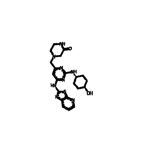 O=C1CN(Cc2cc(Nc3nc4cccnc4s3)nc(N[C@H]3CC[C@H](O)CC3)n2)CCN1